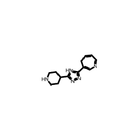 C1=CCC(c2nnc(C3CCNCC3)[nH]2)=CN=C1